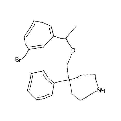 CC(OCC1(c2ccccc2)CCNCC1)c1cccc(Br)c1